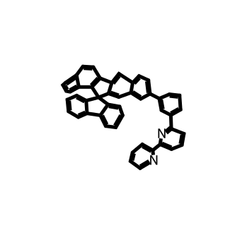 c1ccc(-c2cccc(-c3cccc(-c4ccc5cc6c(cc5c4)C4(c5ccccc5-c5ccccc54)c4c-6ccc5ccccc45)c3)n2)nc1